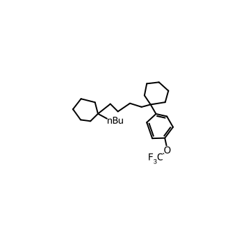 CCCCC1(CCCCC2(c3ccc(OC(F)(F)F)cc3)CCCCC2)CCCCC1